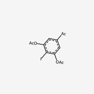 CC(=O)Oc1cc(C(C)=O)cc(OC(C)=O)c1I